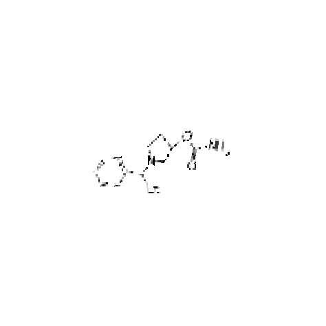 CCC(c1ccccc1)N1CCC(OC(N)=O)C1